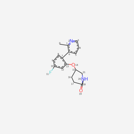 Cc1ncccc1-c1[c]cc(F)cc1OC1CCC(=O)NC1